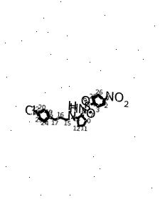 O=[N+]([O-])c1ccc(S(=O)(=O)NC2CCCC2NCCCc2ccc(Cl)cc2)cc1